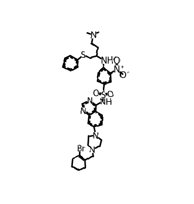 CN(C)CCC(CSc1ccccc1)Nc1ccc(S(=O)(=O)Nc2ncnc3cc(N4CCN(CC5=C(Br)CCCC5)CC4)ccc23)cc1[N+](=O)[O-]